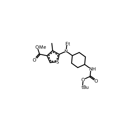 CCN(c1scc(C(=O)OC)c1C)C1CCC(NC(=O)OC(C)(C)C)CC1